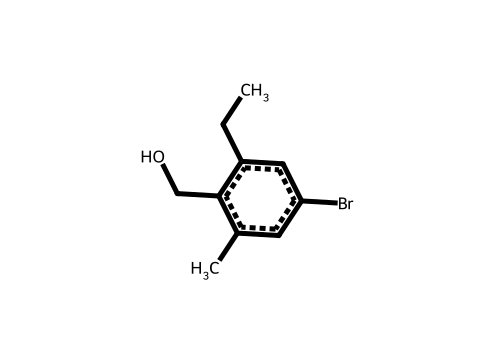 CCc1cc(Br)cc(C)c1CO